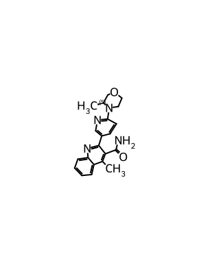 Cc1c(C(N)=O)c(-c2ccc(N3CCOC[C@@H]3C)nc2)nc2ccccc12